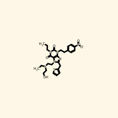 CCCn1c(=O)c2c(nc(Cc3cccs3)n2CCN(CC)CCO)n(CCc2ccc([N+](=O)[O-])cc2)c1=O